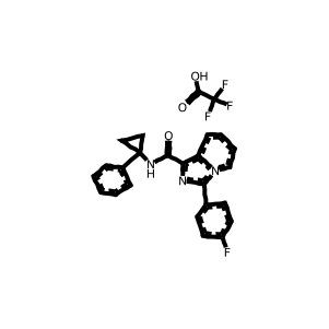 O=C(NC1(c2ccccc2)CC1)c1nc(-c2ccc(F)cc2)n2ccccc12.O=C(O)C(F)(F)F